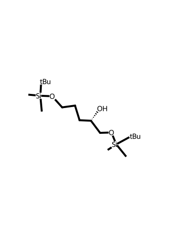 CC(C)(C)[Si](C)(C)OCCC[C@H](O)CO[Si](C)(C)C(C)(C)C